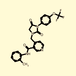 Cc1ccccc1NC(=O)c1cnccc1CN1CC(=O)N(c2ccc(OC(F)(F)F)cc2)C1=O